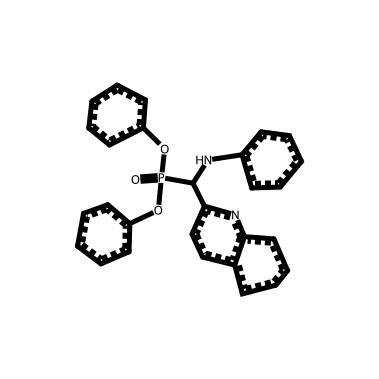 O=P(Oc1ccccc1)(Oc1ccccc1)C(Nc1ccccc1)c1ccc2ccccc2n1